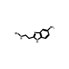 Bc1ccc2[nH]c(CCNC(C)(C)C)nc2c1